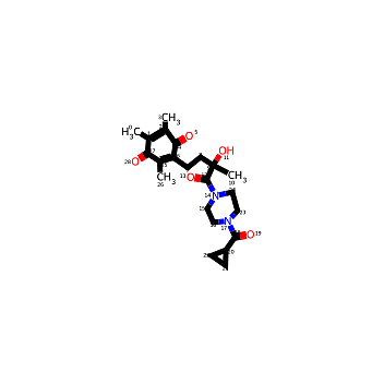 CC1=C(C)C(=O)C(CCC(C)(O)C(=O)N2CCN(C(=O)C3CC3)CC2)=C(C)C1=O